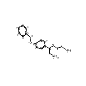 NCC(OCCO)c1ccc(OCc2ccccc2)cc1